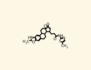 Cc1cnc(NC(=O)CCC2CC(=O)C3(C)CCC4c5cc6c(cc5CCC4C23)OC(C)N6)s1